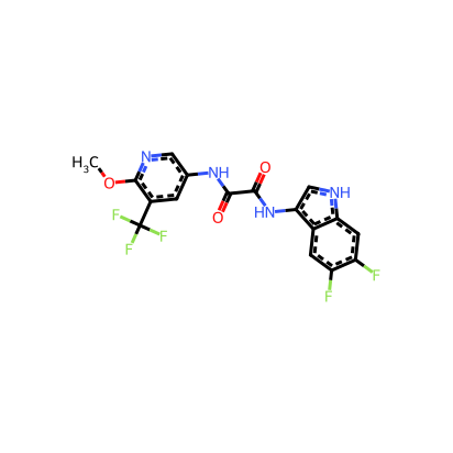 COc1ncc(NC(=O)C(=O)Nc2c[nH]c3cc(F)c(F)cc23)cc1C(F)(F)F